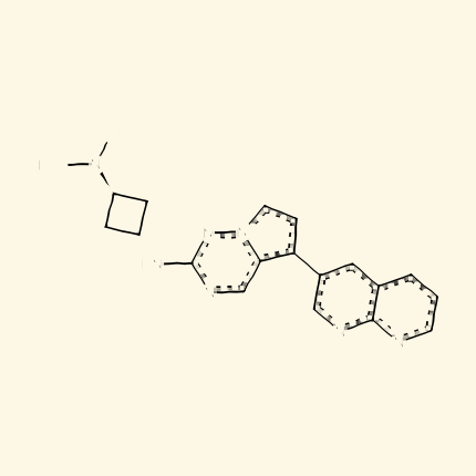 CN(C)[C@H]1C[C@H](Nc2ncc3c(-c4cnc5ncccc5c4)ccn3n2)C1